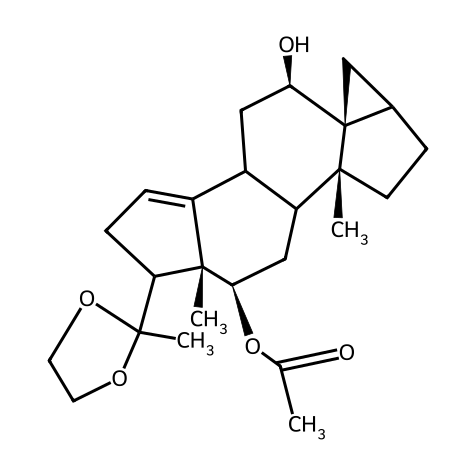 CC(=O)O[C@@H]1CC2C(C[C@@H](O)[C@]34CC3CC[C@]24C)C2=CCC(C3(C)OCCO3)[C@]21C